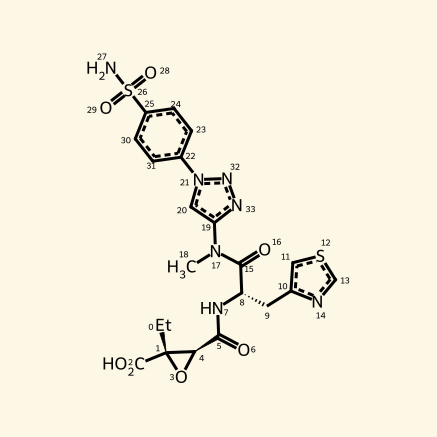 CC[C@]1(C(=O)O)O[C@@H]1C(=O)N[C@@H](Cc1cscn1)C(=O)N(C)c1cn(-c2ccc(S(N)(=O)=O)cc2)nn1